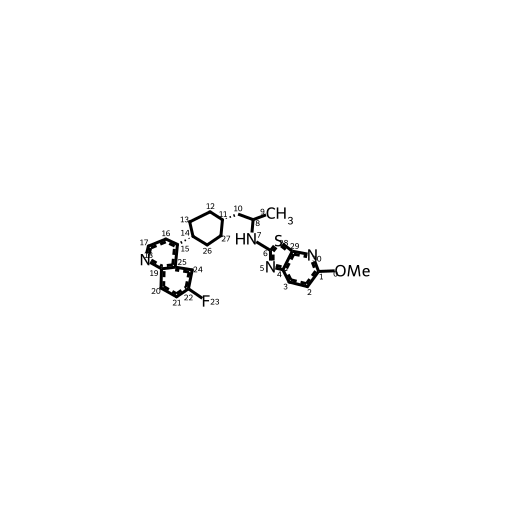 COc1ccc2nc(NC(C)C[C@H]3CC[C@@H](c4ccnc5ccc(F)cc54)CC3)sc2n1